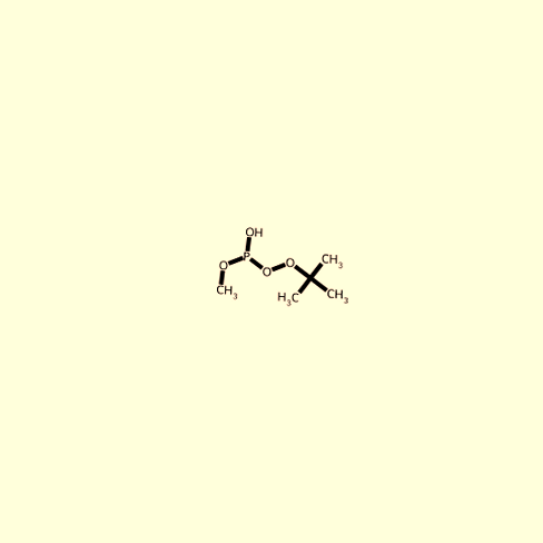 COP(O)OOC(C)(C)C